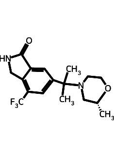 C[C@@H]1CN(C(C)(C)c2cc3c(c(C(F)(F)F)c2)CNC3=O)CCO1